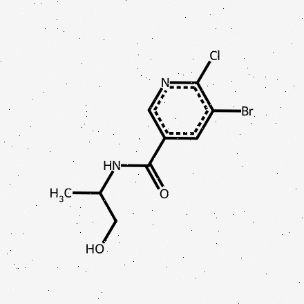 CC(CO)NC(=O)c1cnc(Cl)c(Br)c1